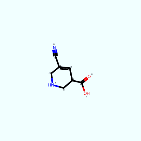 N#CC1=CC(C(=O)O)CNC1